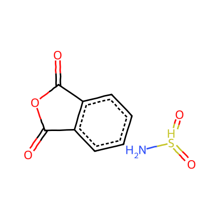 N[SH](=O)=O.O=C1OC(=O)c2ccccc21